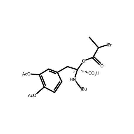 CCC(C)N[C@@](Cc1ccc(OC(C)=O)c(OC(C)=O)c1)(OC(=O)C(C)C(C)C)C(=O)O